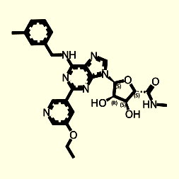 CCOc1cncc(-c2nc(NCc3cccc(C)c3)c3ncn([C@H]4O[C@H](C(=O)NC)[C@@H](O)[C@H]4O)c3n2)c1